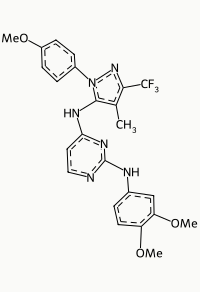 COc1ccc(-n2nc(C(F)(F)F)c(C)c2Nc2ccnc(Nc3ccc(OC)c(OC)c3)n2)cc1